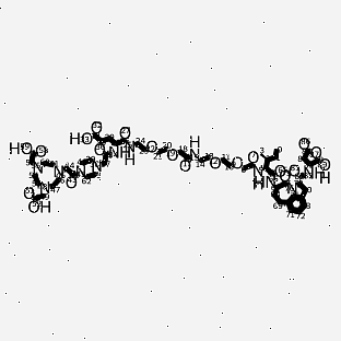 CC[C@H](C)[C@H](NC(=O)COCCOCCNC(=O)COCCOCCNC(=O)C(CCC(=O)O)NC(=O)CN1CCN(C(=O)CN2CCN(CC(=O)O)CCN(CC(=O)O)CC2)CC1)C(=O)N[C@H]1CCc2cccc3c2N(C1=O)[C@H](C(=O)NC1CC(=O)OC1O)C3